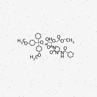 CCOC(=O)COC1C(O)[C@@H](COC(c2ccccc2)(c2ccc(OC)cc2)c2ccc(OC)cc2)O[C@H]1n1ccc(NC(=O)c2ccccc2)nc1=O